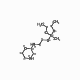 CCO[Si](C)(OCC)OCCNC1CNCCO1